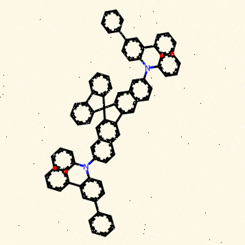 c1ccc(-c2ccc(N(c3ccccc3)c3ccc4cc5c(cc4c3)C3(c4ccccc4-c4ccccc43)c3cc4cc(N(c6ccccc6)c6ccc(-c7ccccc7)cc6-c6ccccc6)ccc4cc3-5)c(-c3ccccc3)c2)cc1